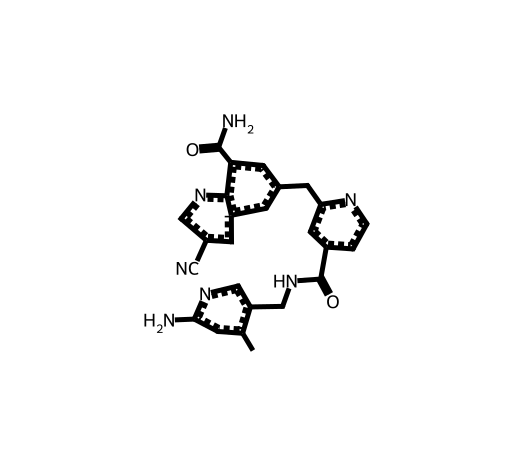 Cc1cc(N)ncc1CNC(=O)c1ccnc(Cc2cc(C(N)=O)c3ncc(C#N)cc3c2)c1